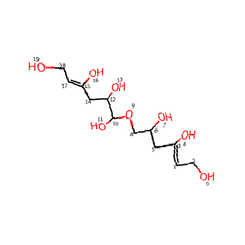 OCC=C(O)CC(O)COC(O)C(O)CC(O)=CCO